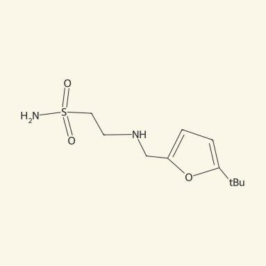 CC(C)(C)c1ccc(CNCCS(N)(=O)=O)o1